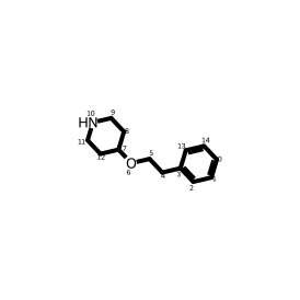 c1ccc(CCOC2CCNCC2)cc1